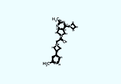 Cc1cc(C2CN(CC(=O)N3Cc4nc(C)nc(N5CCC5)c4C3)C2)ccn1